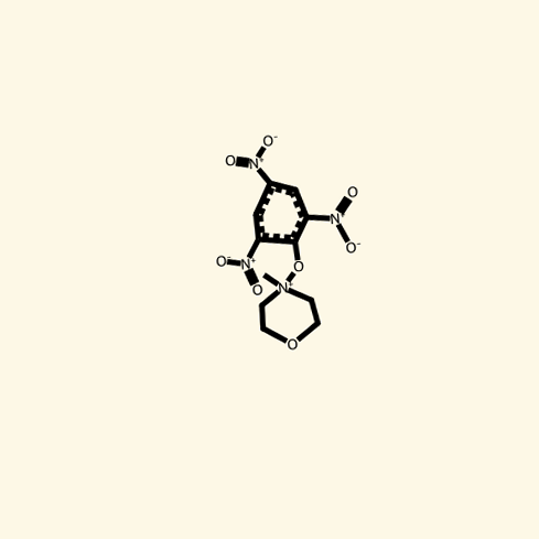 C[N+]1(Oc2c([N+](=O)[O-])cc([N+](=O)[O-])cc2[N+](=O)[O-])CCOCC1